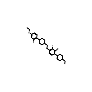 CCOc1ccc(C2CCC(CCc3ccc(C4=CCC(CC)CC4)c(F)c3F)CC2)c(F)c1